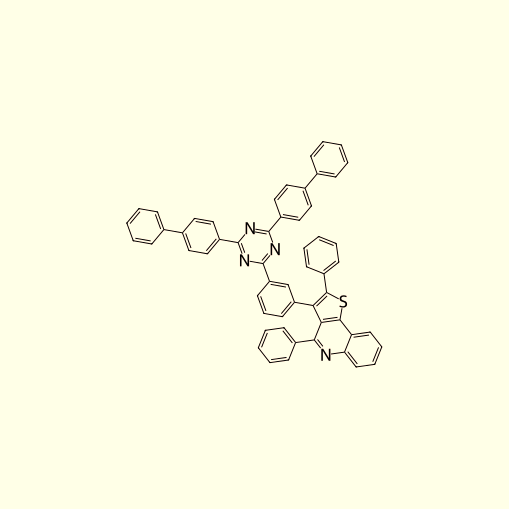 c1ccc(-c2ccc(-c3nc(-c4ccc(-c5ccccc5)cc4)nc(-c4cccc(-c5c(-c6ccccc6)sc6c5c(-c5ccccc5)nc5ccccc56)c4)n3)cc2)cc1